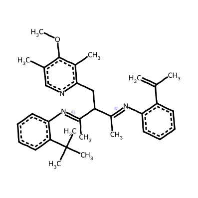 C=C(C)c1ccccc1/N=C(\C)C(Cc1ncc(C)c(OC)c1C)/C(C)=N/c1ccccc1C(C)(C)C